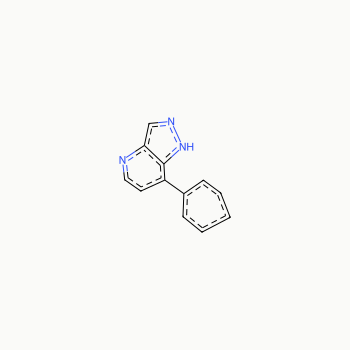 c1ccc(-c2ccnc3cn[nH]c23)cc1